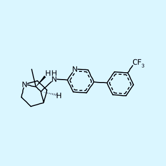 C[C@@H]1[C@@H](Nc2ccc(-c3cccc(C(F)(F)F)c3)cn2)C2CCN1CC2